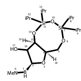 CNB[C@@H]1O[C@@H]2CO[Si](C(C)C)(C(C)C)O[Si](C(C)C)(C(C)C)O[C@@H]2C1O